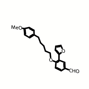 COc1ccc(CCCCCOc2ccc(C=O)cc2-c2ccco2)cc1